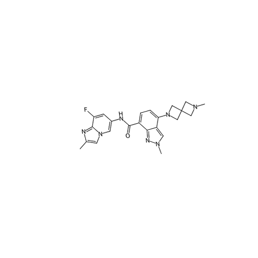 Cc1cn2cc(NC(=O)c3ccc(N4CC5(CN(C)C5)C4)c4cn(C)nc34)cc(F)c2n1